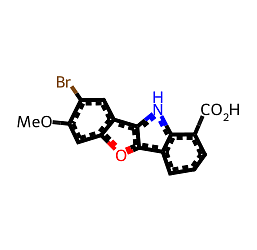 COc1cc2oc3c4cccc(C(=O)O)c4[nH]c3c2cc1Br